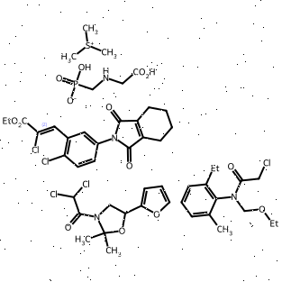 CC1(C)OC(c2ccco2)CN1C(=O)C(Cl)Cl.CCOC(=O)/C(Cl)=C/c1cc(N2C(=O)C3=C(CCCC3)C2=O)ccc1Cl.CCOCN(C(=O)CCl)c1c(C)cccc1CC.C[S+](C)C.O=C(O)CNCP(=O)([O-])O